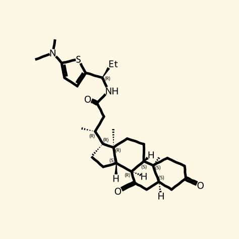 CC[C@@H](NC(=O)C[C@@H](C)[C@H]1CC[C@H]2[C@@H]3C(=O)C[C@@H]4CC(=O)CC[C@]4(C)[C@H]3CC[C@]12C)c1ccc(N(C)C)s1